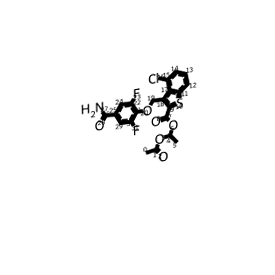 CC(=O)OC(C)OC(=O)c1sc2cccc(Cl)c2c1COc1c(F)cc(C(N)=O)cc1F